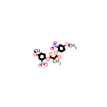 C=C(C(=O)Oc1ccc(OC)cc1[N+](=O)[O-])C(=O)Oc1ccc(OC)cc1[N+](=O)[O-]